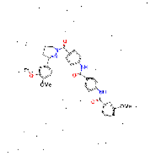 CCOc1cc(C2=NN(C(=O)c3ccc(NC(=O)c4ccc(NC(=O)c5cccc(OC)c5)cc4)cc3)CCC2)ccc1OC